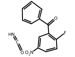 N=C=O.O=C(c1ccccc1)c1cc([N+](=O)[O-])ccc1F